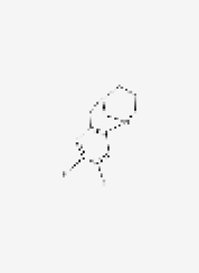 Fc1cc2c(cc1F)N1CCCC(C2)C1